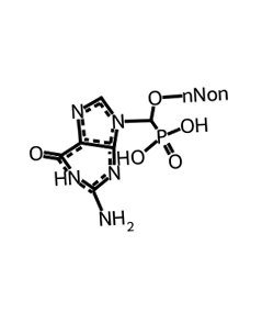 CCCCCCCCCOC(n1cnc2c(=O)[nH]c(N)nc21)P(=O)(O)O